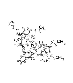 CCCCCCC(C)C1(C)C(c2ccccc2F)C(C(CC)CCCCC)=CN(OC(=O)c2ccccc2C(=O)ON2C=C(C(CC)CCCCC)C(c3ccccc3F)C(C)(C(C)CCCCCC)C2C)C1C